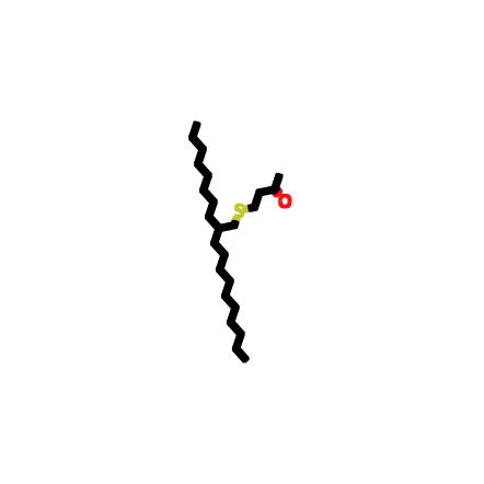 CCCCCCCCCCC(CCCCCCCC)CSCCC(C)=O